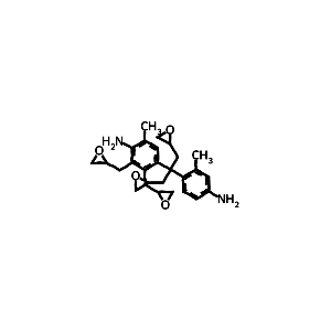 Cc1cc(N)ccc1C(CC1CO1)(CC1CO1)c1cc(C)c(N)c(CC2CO2)c1CC1CO1